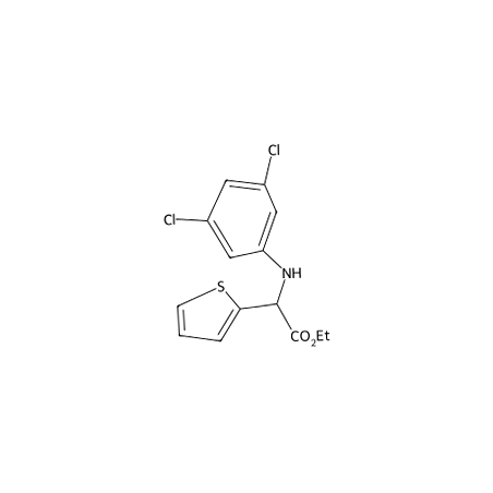 CCOC(=O)C(Nc1cc(Cl)cc(Cl)c1)c1cccs1